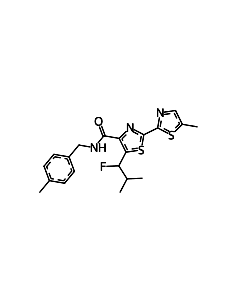 Cc1ccc(CNC(=O)c2nc(-c3ncc(C)s3)sc2C(F)C(C)C)cc1